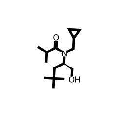 CC(C)C(=O)N(CC1CC1)[C@@H](CO)CC(C)(C)C